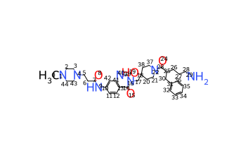 CN1CCN(CCC(=O)Nc2ccc3c(=O)n(CC4(O)CCN(C(=O)C(CCCN)Cc5ccccc5)CC4)cnc3c2)CC1